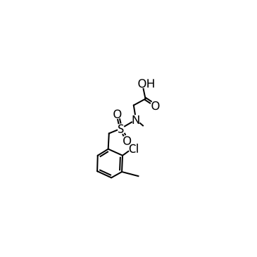 Cc1cccc(CS(=O)(=O)N(C)CC(=O)O)c1Cl